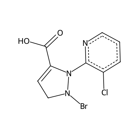 O=C(O)C1=CCN(Br)N1c1ncccc1Cl